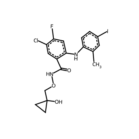 Cc1cc(I)ccc1Nc1cc(F)c(Cl)cc1C(=O)NOCC1(O)CC1